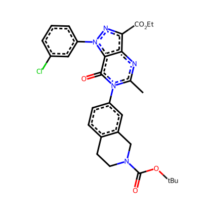 CCOC(=O)c1nn(-c2cccc(Cl)c2)c2c(=O)n(-c3ccc4c(c3)CN(C(=O)OC(C)(C)C)CC4)c(C)nc12